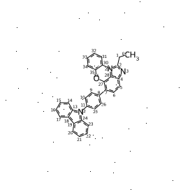 CCc1nc2ccc(-c3ccc(-n4c5ccccc5c5ccccc54)cc3)c3c2n1-c1ccccc1O3